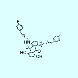 O=C1c2c(O)ccc(O)c2C(=O)c2c(NCCN=Cc3ccc(F)cc3)ccc(NCCN=Cc3ccc(F)cc3)c21